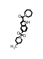 CC1CCN(S(=O)(=O)c2ccc3[nH]c(C(=O)N4CCCCCC4)cc3c2)CC1